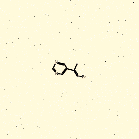 C/C(=C\Br)c1cncnc1